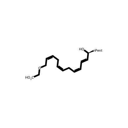 CCCCC[C@H](O)/C=C/C=C\C/C=C\C/C=C\COCC(=O)O